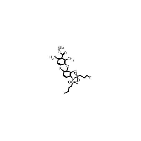 Cc1c(Oc2c(F)ccc(N(S(=O)(=O)CCCF)S(=O)(=O)CCCF)c2Cl)ccc(N)c1C(=O)OC(C)(C)C